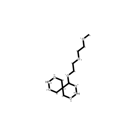 COCCOCCOC1OPOCC12COPOC2